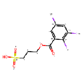 O=C(OCCCS(=O)(=O)O)c1cc(I)cc(I)c1I